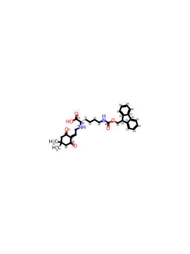 CC1(C)CC(=O)C(=CCN[C@@H](CCCCNC(=O)OCC2c3ccccc3-c3ccccc32)C(=O)O)C(=O)C1